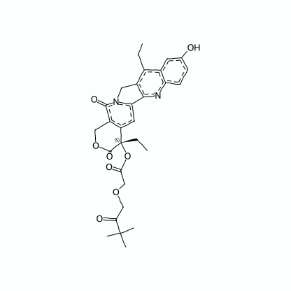 CCc1c2c(nc3ccc(O)cc13)-c1cc3c(c(=O)n1C2)COC(=O)[C@@]3(CC)OC(=O)COCC(=O)C(C)(C)C